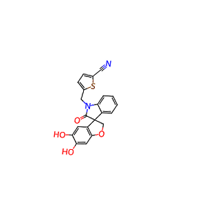 N#Cc1ccc(CN2C(=O)C3(COc4cc(O)c(O)cc43)c3ccccc32)s1